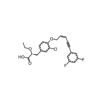 CCO[C@@H](Cc1ccc(OC/C=C\C#Cc2cc(F)cc(F)c2)c(Cl)c1)C(=O)O